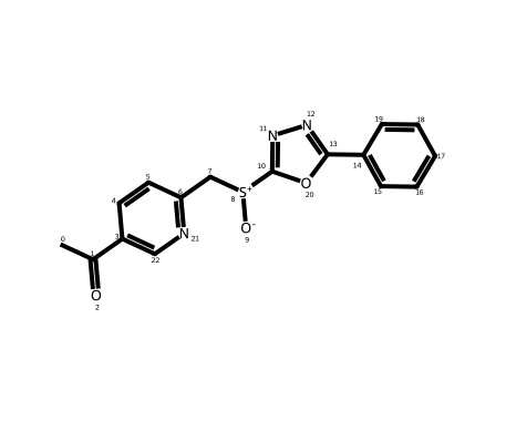 CC(=O)c1ccc(C[S+]([O-])c2nnc(-c3ccccc3)o2)nc1